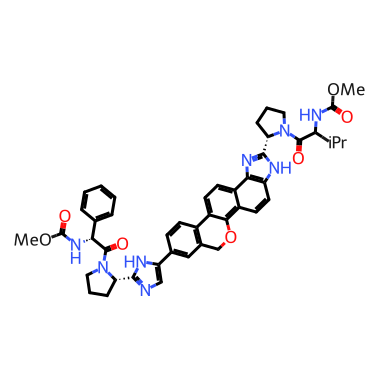 COC(=O)NC(C(=O)N1CCC[C@H]1c1nc2c(ccc3c4c(ccc32)-c2ccc(-c3cnc([C@@H]5CCCN5C(=O)[C@H](NC(=O)OC)c5ccccc5)[nH]3)cc2CO4)[nH]1)C(C)C